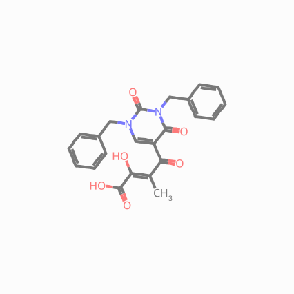 CC(C(=O)c1cn(Cc2ccccc2)c(=O)n(Cc2ccccc2)c1=O)=C(O)C(=O)O